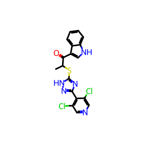 CC(Sc1nc(-c2c(Cl)cncc2Cl)n[nH]1)C(=O)c1c[nH]c2ccccc12